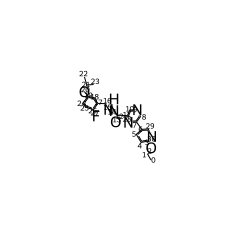 CCOc1ccc(-c2cncc(C(=O)N/N=C/c3cc(OC(C)C)ccc3F)n2)cn1